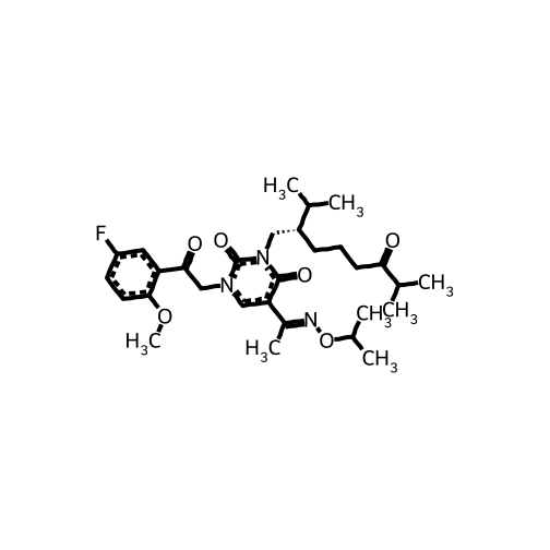 COc1ccc(F)cc1C(=O)Cn1cc(/C(C)=N/OC(C)C)c(=O)n(C[C@@H](CCCC(=O)C(C)C)C(C)C)c1=O